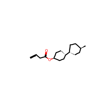 C=CCC(=O)O[C@H]1CC[C@H]([C@H]2CC[C@H](C)CC2)CC1